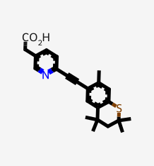 Cc1cc2c(cc1C#Cc1ccc(CC(=O)O)cn1)C(C)(C)CC(C)(C)S2